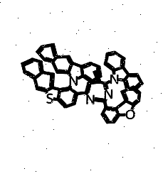 C=C1C=C(c2ccc3sc4cc5ccccc5cc4c3c2-n2c3ccccc3c3cc4ccccc4cc32)N=C(c2cccc3oc4ccccc4c23)N=C1n1c2ccccc2c2ccccc21